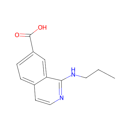 CCCNc1nccc2ccc(C(=O)O)cc12